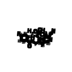 CC(C)(C)Cn1c(CNC(=O)c2ccc(F)cc2)cc2cnc(C#N)nc21